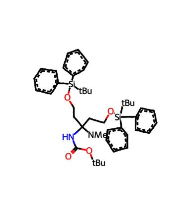 CNC(CCO[Si](c1ccccc1)(c1ccccc1)C(C)(C)C)(CCO[Si](c1ccccc1)(c1ccccc1)C(C)(C)C)NC(=O)OC(C)(C)C